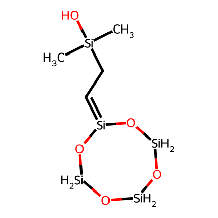 C[Si](C)(O)CC=[Si]1O[SiH2]O[SiH2]O[SiH2]O1